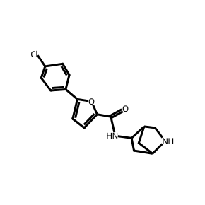 O=C(NC1CC2CC1CN2)c1ccc(-c2ccc(Cl)cc2)o1